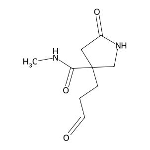 CNC(=O)C1(CCC=O)CNC(=O)C1